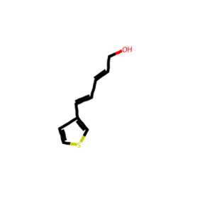 OCC=CC=Cc1ccsc1